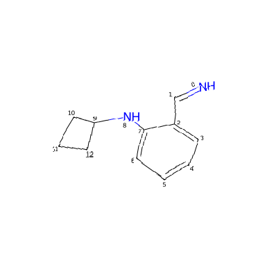 N=Cc1ccccc1NC1CCC1